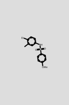 CCc1ccc(NS(=O)(=O)c2ccc(OC)cc2)cc1C